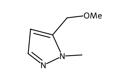 COCc1ccnn1C